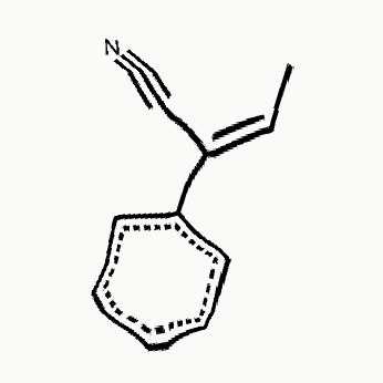 C/C=C(\C#N)c1ccccc1